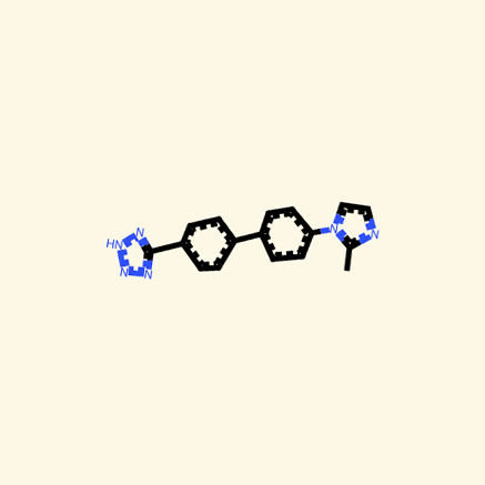 Cc1nccn1-c1ccc(-c2ccc(-c3nn[nH]n3)cc2)cc1